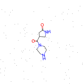 O=C1CC(C(=O)N2CCNCC2)CN1